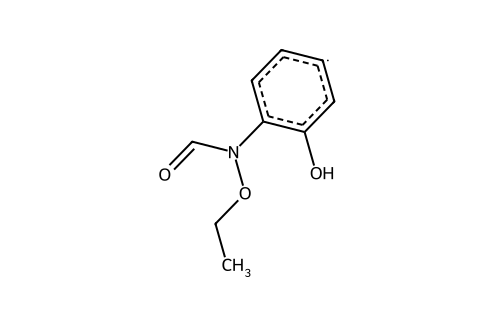 CCON(C=O)c1cc[c]cc1O